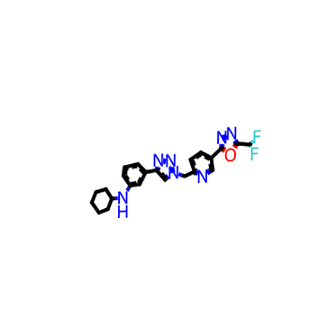 FC(F)c1nnc(-c2ccc(Cn3cc(-c4cccc(NC5CCCCC5)c4)nn3)nc2)o1